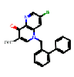 O=[C]c1cn(Cc2ccccc2-c2ccccc2)c2cc(Br)cnc2c1=O